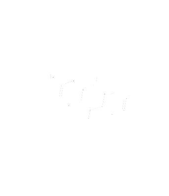 COc1ccccc1C(O)c1ccc(N)cc1